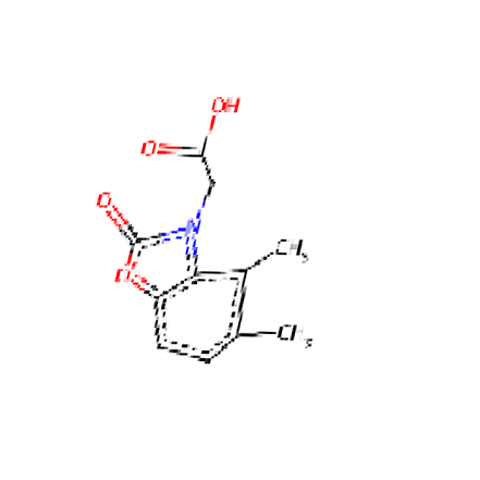 Cc1ccc2oc(=O)n(CC(=O)O)c2c1C